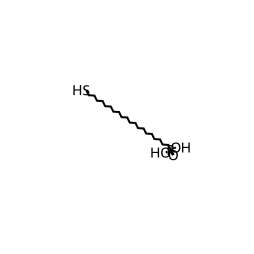 O=P(O)(O)CCCCCCCCCCCCCCCCCCCCS